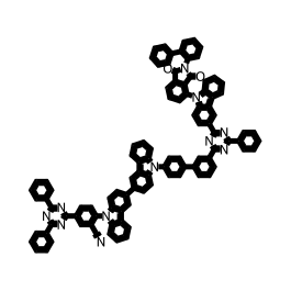 N#Cc1cc(-c2nc(-c3ccccc3)nc(-c3ccccc3)n2)ccc1-n1c2ccccc2c2cc(-c3ccc4c(c3)c3ccccc3n4-c3ccc(-c4cccc(-c5nc(-c6ccccc6)nc(-c6ccc7c(c6)c6ccccc6n7-c6cccc7c6C(=O)N(c6ccccc6-c6ccccc6)C7=O)n5)c4)cc3)ccc21